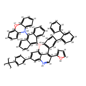 CC(C)(C)c1ccc(-c2cc3c4c(c(-c5ccco5)cnc4c2)-c2cc(-c4ccccc4-c4ccccc4)ccc2B3c2c3ccccc3c(N3c4ccccc4Oc4ccccc43)c3ccccc23)cc1